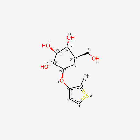 CCc1sccc1O[C@@H]1C[C@H](CO)[C@@H](O)[C@H](O)[C@H]1O